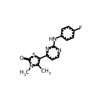 Cc1c(-c2ccnc(Nc3ccc(F)cc3)n2)sc(=O)n1C